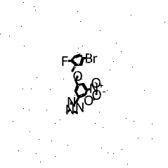 COc1c(-c2ncn(C)n2)cc(COCc2cc(Br)ccc2F)cc1[N+](=O)[O-]